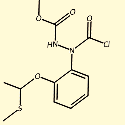 COC(=O)NN(C(=O)Cl)c1ccccc1OC(C)SC